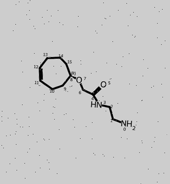 NCCNC(=O)CO[C@H]1CCC=CCCC1